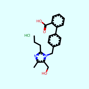 CCCc1nc(C)c(CO)n1Cc1ccc(-c2ccccc2C(=O)O)cc1.Cl